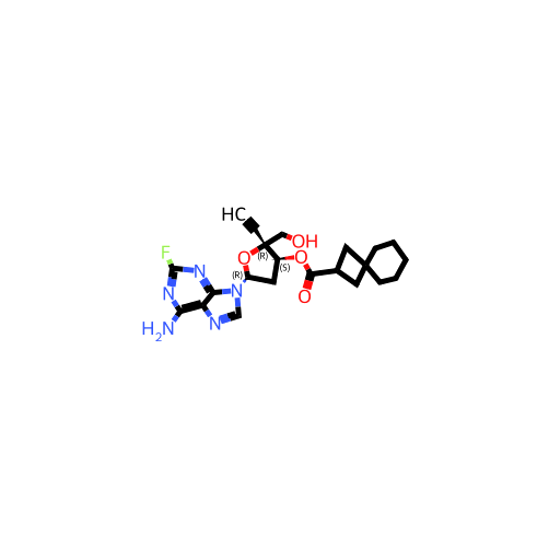 C#C[C@]1(CO)O[C@@H](n2cnc3c(N)nc(F)nc32)C[C@@H]1OC(=O)C1CC2(CCCCC2)C1